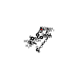 CCOc1nc(N)c2nc(O)n(Cc3ccc(CN(C(=O)O)C(Cc4ccc(NC(=O)[C@H](CCCNC(N)=O)NC(=O)[C@@H](NC(=O)CCOCCOCCOCCN5C(=O)C=CC5=O)C(C)C)cc4)c4ccc(CN5CCC(NC(=O)OC(C)(C)C)CC5)cc4)cc3OC)c2n1